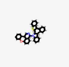 c1ccc2c(c1)Oc1cccc3c(-n4c5ccccc5c5c6ccccc6c6c7ccccc7sc6c54)ncc-2c13